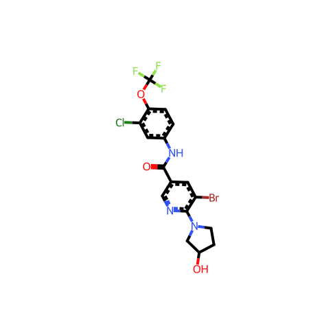 O=C(Nc1ccc(OC(F)(F)F)c(Cl)c1)c1cnc(N2CCC(O)C2)c(Br)c1